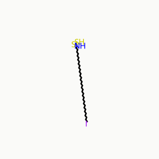 S=C(S)NCCCCCCCCCCCCCCCCCCCCCCCCCCCCCCCCCCCCCCI